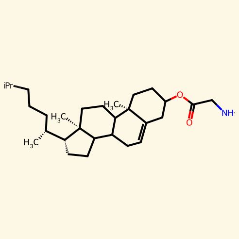 CC(C)CCC[C@@H](C)[C@H]1CCC2C3CC=C4CC(OC(=O)C[NH])CC[C@]4(C)C3CC[C@@]21C